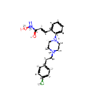 O=C(/C=C/c1ccccc1N1CCN(CCc2ccc(Cl)cc2)CC1)NO